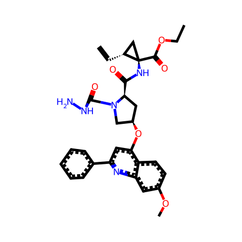 C=C[C@@H]1C[C@]1(NC(=O)[C@H]1C[C@@H](Oc2cc(-c3ccccc3)nc3cc(OC)ccc23)CN1C(=O)NN)C(=O)OCC